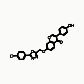 O=c1c(-c2ccc(O)cc2)coc2cc(OCc3nnc(-c4ccc(Cl)cc4)o3)ccc12